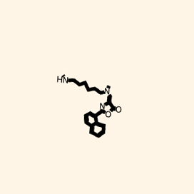 CNCCCCCCN(C)/C=C1\N=C(c2cccc3ccccc23)OC1=O